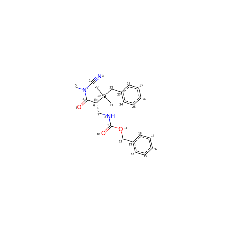 CN(C#N)C(=O)[C@@H](CNC(=O)OCc1ccccc1)[Si](C)(C)Cc1ccccc1